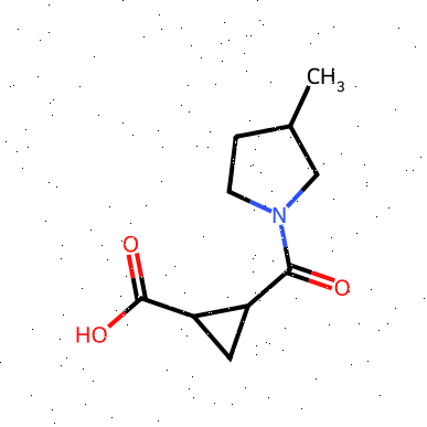 CC1CCN(C(=O)C2CC2C(=O)O)C1